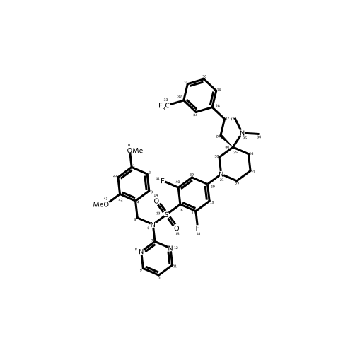 COc1ccc(CN(c2ncccn2)S(=O)(=O)c2c(F)cc(N3CCC[C@@](CCc4cccc(C(F)(F)F)c4)(N(C)C)C3)cc2F)c(OC)c1